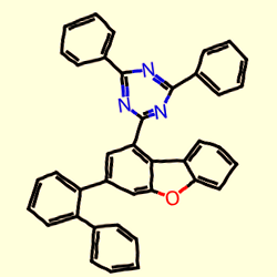 c1ccc(-c2nc(-c3ccccc3)nc(-c3cc(-c4ccccc4-c4ccccc4)cc4oc5ccccc5c34)n2)cc1